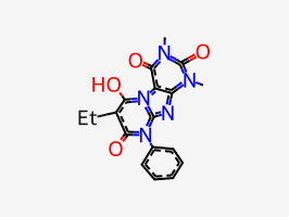 CCc1c(O)n2c3c(=O)n(C)c(=O)n(C)c3nc2n(-c2ccccc2)c1=O